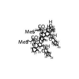 CSCC[C@H](NC(=O)c1ccc(NC(=O)Cc2cn(C)cn2)cc1-c1ccccc1C)C(=O)O.CSCC[C@H](NC(=O)c1ccc(NC(=O)Cc2cn(C)cn2)cc1-c1ccccc1C)C(=O)O.O=C(O)C(F)(F)F